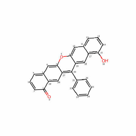 O=c1cccc2cc3oc4cc5cccc(O)c5cc4c(-c4ccccc4)c3cc12